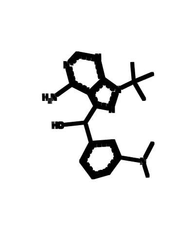 CN(C)c1cccc(C(O)c2nn(C(C)(C)C)c3ncnc(N)c23)c1